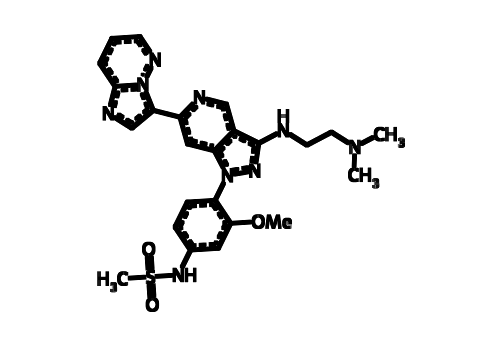 COc1cc(NS(C)(=O)=O)ccc1-n1nc(NCCN(C)C)c2cnc(-c3cnc4cccnn34)cc21